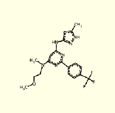 COCCN(C)c1cc(Nc2cc(C)[nH]n2)nc(-c2ccc(C(F)(F)F)cc2)n1